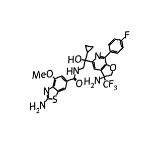 COc1cc(C(=O)NCC(O)(c2cc3c(c(-c4ccc(F)cc4)n2)OC[C@@]3(N)C(F)(F)F)C2CC2)cc2sc(N)nc12